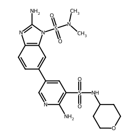 CN(C)S(=O)(=O)n1c(N)nc2ccc(-c3cnc(N)c(S(=O)(=O)NC4CCOCC4)c3)cc21